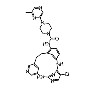 Cc1cncc(N2CCN(C(=O)Nc3ccc4cc3CCc3cncc(c3)Nc3ncc(Cl)c(n3)N4)CC2)n1